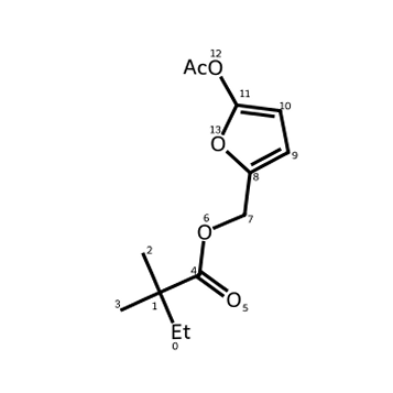 CCC(C)(C)C(=O)OCc1ccc(OC(C)=O)o1